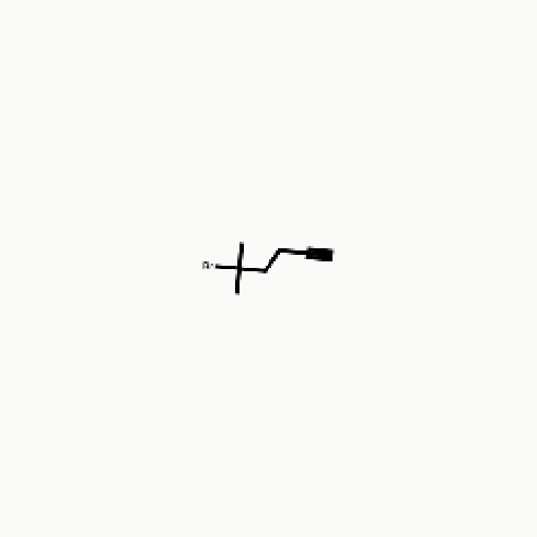 C#CCCC(C)(C)Br